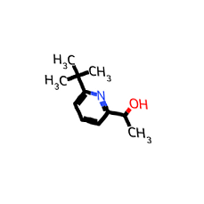 CC(O)c1cccc(C(C)(C)C)n1